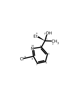 CC[C@](C)(O)c1cccc(Cl)n1